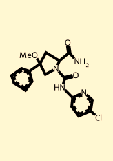 COC1(c2ccccc2)CC(C(N)=O)N(C(=O)Nc2ccc(Cl)cn2)C1